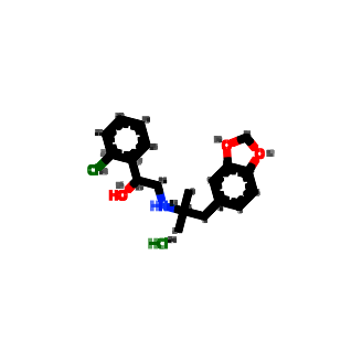 CC(C)(Cc1ccc2c(c1)OCO2)NCC(O)c1ccccc1Cl.Cl